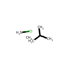 C.CC(C)C.[SiH3]Cl